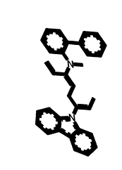 C=C/C(=C\C/C(=C\C)n1c2ccccc2c2ccccc21)N(C)c1ccccc1-c1ccccc1